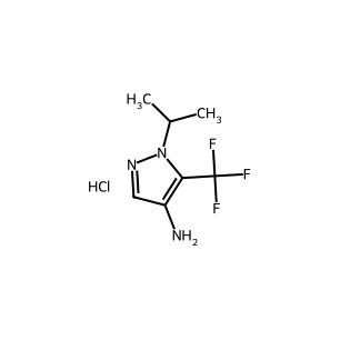 CC(C)n1ncc(N)c1C(F)(F)F.Cl